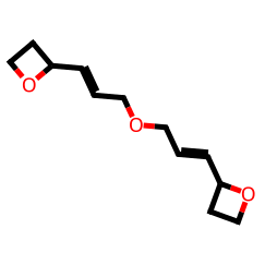 C(=CC1CCO1)COCC=CC1CCO1